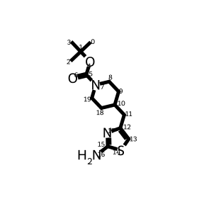 CC(C)(C)OC(=O)N1CCC(Cc2csc(N)n2)CC1